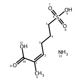 CC(=CCCCS(=O)(=O)O)C(=O)O.N